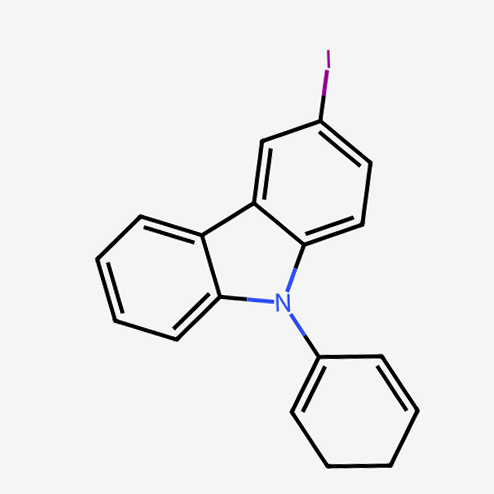 Ic1ccc2c(c1)c1ccccc1n2C1=CCCC=C1